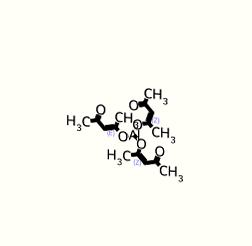 CC(=O)/C=C(/C)[O][Al]([O]/C(C)=C\C(C)=O)[O]/C(C)=C/C(C)=O